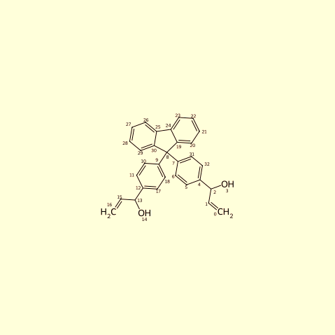 C=CC(O)c1ccc(C2(c3ccc(C(O)C=C)cc3)c3ccccc3-c3ccccc32)cc1